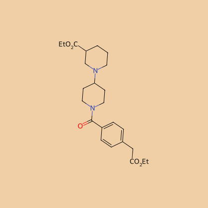 CCOC(=O)Cc1ccc(C(=O)N2CCC(N3CCCC(C(=O)OCC)C3)CC2)cc1